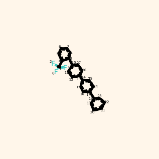 FC(F)(F)c1ccccc1-c1ccc(-c2ccc(-c3ccccc3)cc2)cc1